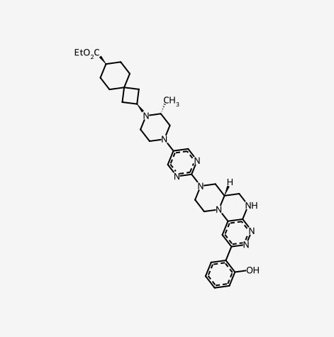 CCOC(=O)[C@H]1CCC2(CC1)C[C@H](N1CCN(c3cnc(N4CCN5c6cc(-c7ccccc7O)nnc6NC[C@H]5C4)nc3)C[C@H]1C)C2